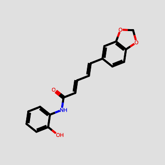 O=C(/C=C/C=C/c1ccc2c(c1)OCO2)Nc1ccccc1O